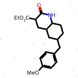 CCOC(=O)C1CC2CC(Cc3ccc(OC)cc3)CCC2NC1=O